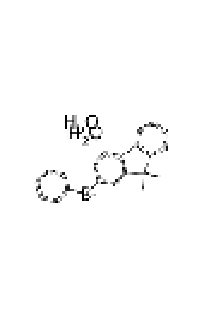 CC1(C)c2ccccc2-c2ccc([B]c3ccccc3)cc21.O.O